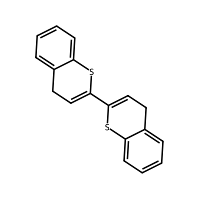 C1=C(C2=CCc3ccccc3S2)Sc2ccccc2C1